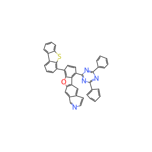 c1ccc(-c2nc(-c3ccccc3)nc(-c3ccc(-c4cccc5c4sc4ccccc45)c4oc5cc6cnccc6cc5c34)n2)cc1